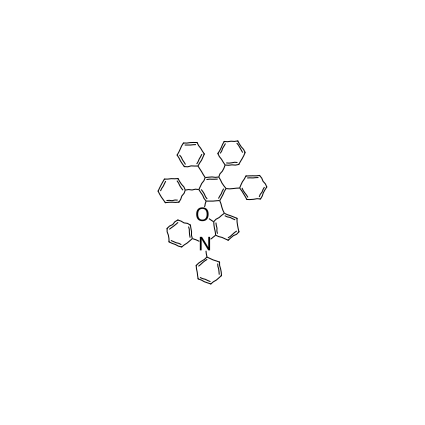 c1ccc(-c2c(-c3ccccc3)c(-c3ccccc3)c3c(oc4c(N(c5ccccc5)c5ccccc5)cccc43)c2-c2ccccc2)cc1